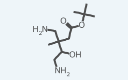 CC(C)(C)OC(=O)CC(C)(CN)C(O)CN